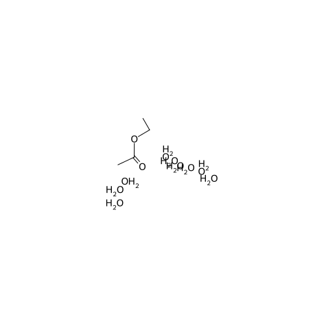 CCOC(C)=O.O.O.O.O.O.O.O.O.O